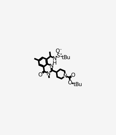 Cc1cc(C(C)N[S@+]([O-])C(C)(C)C)c2nc(C3CCN(C(=O)OC(C)(C)C)CC3)n(C)c(=O)c2c1